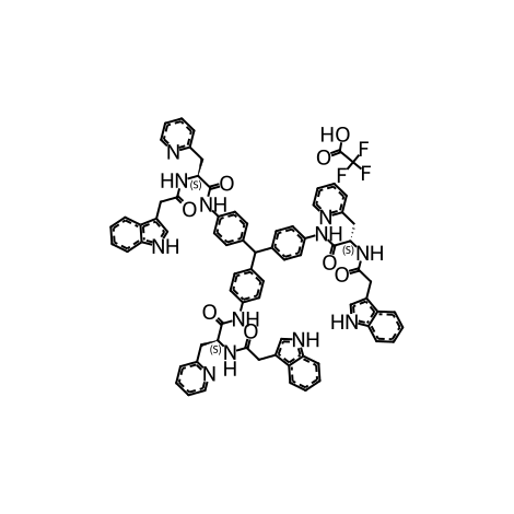 O=C(Cc1c[nH]c2ccccc12)N[C@@H](Cc1ccccn1)C(=O)Nc1ccc(C(c2ccc(NC(=O)[C@H](Cc3ccccn3)NC(=O)Cc3c[nH]c4ccccc34)cc2)c2ccc(NC(=O)[C@H](Cc3ccccn3)NC(=O)Cc3c[nH]c4ccccc34)cc2)cc1.O=C(O)C(F)(F)F